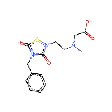 CN(CCn1sc(=O)n(Cc2ccccc2)c1=O)CC(=O)O